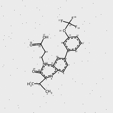 CC(C)c1nc2ccc(-c3cccc(OC(F)(F)F)c3)cc2n(CCC(=O)O)c1=O